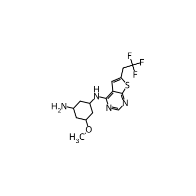 COC1CC(N)CC(Nc2ncnc3sc(CC(F)(F)F)cc23)C1